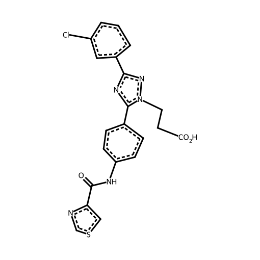 O=C(O)CCn1nc(-c2cccc(Cl)c2)nc1-c1ccc(NC(=O)c2cscn2)cc1